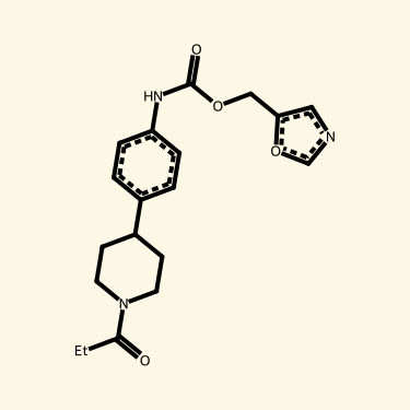 CCC(=O)N1CCC(c2ccc(NC(=O)OCc3cnco3)cc2)CC1